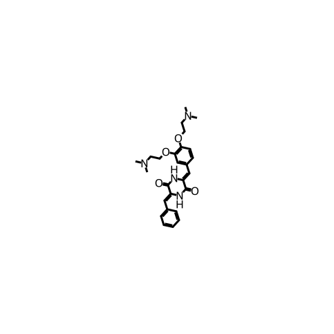 CN(C)CCOc1ccc(C=c2[nH]c(=O)c(=Cc3ccccc3)[nH]c2=O)cc1OCCN(C)C